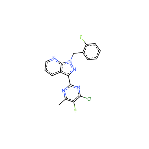 Cc1nc(-c2nn(Cc3ccccc3F)c3ncccc23)nc(Cl)c1F